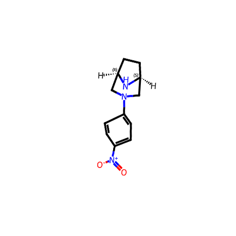 O=[N+]([O-])c1ccc(N2C[C@H]3CC[C@@H](C2)N3)cc1